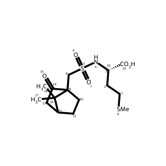 CSCC[C@H](NS(=O)(=O)CC12CCC(CC1=O)C2(C)C)C(=O)O